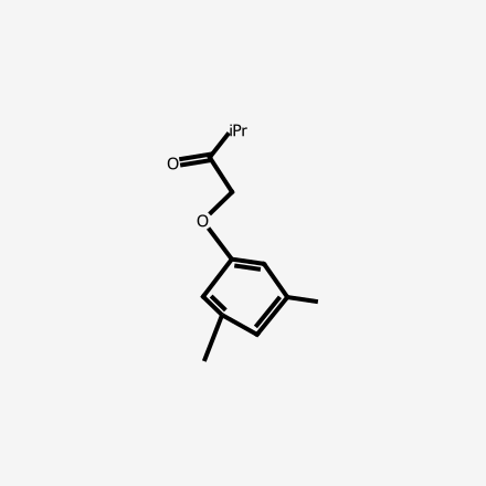 Cc1cc(C)cc(OCC(=O)C(C)C)c1